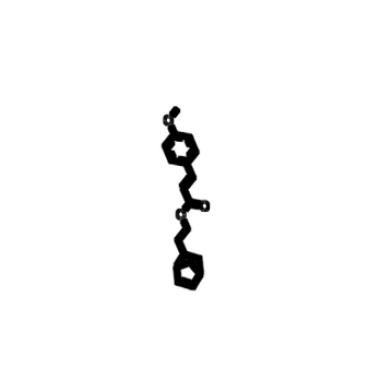 COc1ccc(C=CC(=O)OCCC2CC3C=CC2C3)cc1